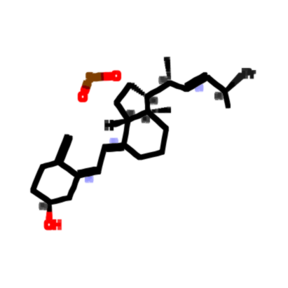 C=C1CC[C@H](O)C/C1=C/C=C1\CCC[C@]2(C)[C@@H]([C@H](C)/C=C/[C@H](C)C(C)C)CC[C@@H]12.O=S=O